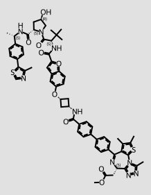 COC(=O)C[C@@H]1N=C(c2ccc(-c3ccc(C(=O)N[C@H]4C[C@@H](Oc5ccc6oc(C(=O)N[C@H](C(=O)N7C[C@H](O)C[C@H]7C(=O)N[C@@H](C)c7ccc(-c8scnc8C)cc7)C(C)(C)C)cc6c5)C4)cc3)cc2)c2c(sc(C)c2C)-n2c(C)nnc21